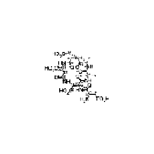 C[C@H](NC(=O)[C@H](C)NC(=O)[C@H](CC(=O)O)NC(=O)[C@@H](N)CC(=O)O)C(=O)N[C@@H](CC(=O)O)C(=O)N[C@@H](CC(N)=O)C(=O)O